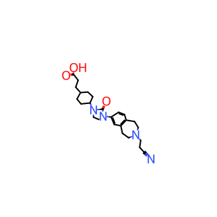 N#CCCN1CCc2ccc(N3CCN(C4CCC(CCC(=O)O)CC4)C3=O)cc2CC1